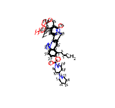 C=CCc1c(OC(=O)N2CCC(N3CCCCC3)CC2)ccc2nc3c(cc12)Cn1c-3cc2c(c1=O)COC(=O)[C@]2(O)CC